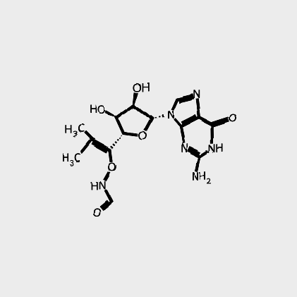 CC(C)=C(ONC=O)[C@H]1O[C@@H](n2cnc3c(=O)[nH]c(N)nc32)[C@H](O)[C@@H]1O